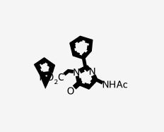 CC(=O)Nc1cc(=O)n(CC(=O)O)c(-c2ccccc2)n1.c1cc2cc-2c1